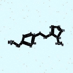 COc1ccc(CSc2ncnn2C)cc1